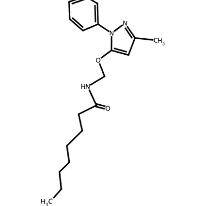 CCCCCCCC(=O)NCOc1cc(C)nn1-c1ccccc1